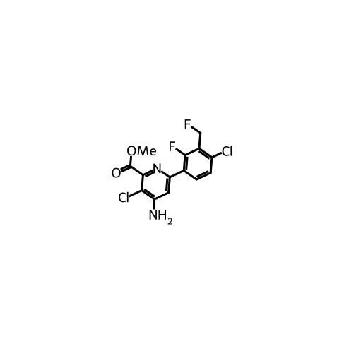 COC(=O)c1nc(-c2ccc(Cl)c(CF)c2F)cc(N)c1Cl